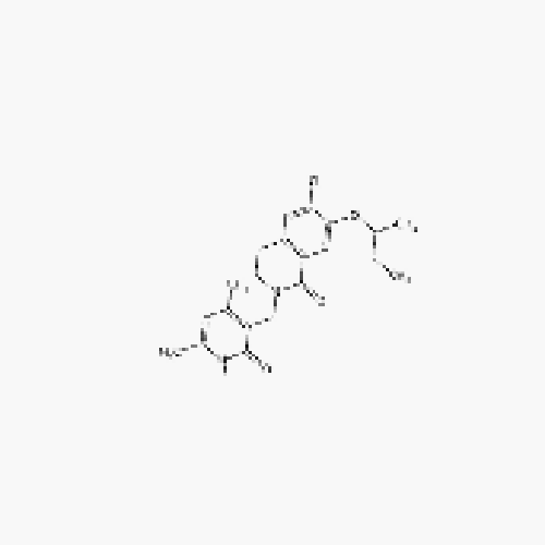 CCC(C)Oc1cc2c(cc1Cl)CCN(Cc1c(C)cc(C)[nH]c1=O)C2=O